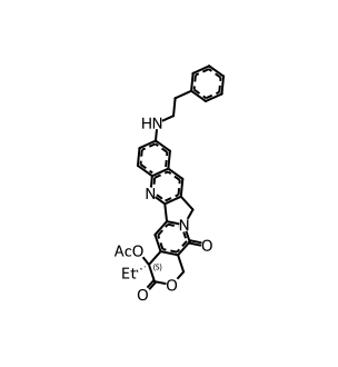 CC[C@@]1(OC(C)=O)C(=O)OCc2c1cc1n(c2=O)Cc2cc3cc(NCCc4ccccc4)ccc3nc2-1